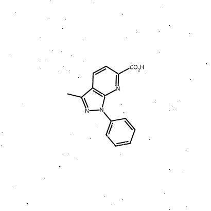 Cc1nn(-c2ccccc2)c2nc(C(=O)O)ccc12